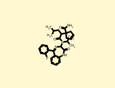 CC(C)CC(C(=O)N(C(C)C)C1N=C(c2ccccc2F)c2ccccc2NC1=O)C1(C(N)=O)CC=CC1